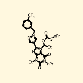 CCCSC(=O)OC(CC)n1c(-c2cnn(Cc3cccc(C(F)(F)F)c3)c2)nc2c1c(=O)n(CCC)c(=O)n2CC